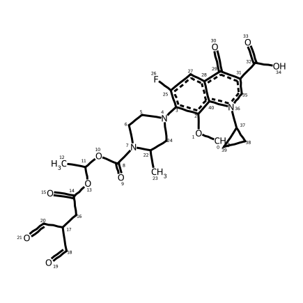 COc1c(N2CCN(C(=O)OC(C)OC(=O)CC(C=O)C=O)C(C)C2)c(F)cc2c(=O)c(C(=O)O)cn(C3CC3)c12